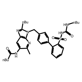 CCCCNC(=O)NS(=O)(=O)c1ccccc1-c1ccc(Cn2c(CCCC)nc3cc(NC(=O)CCCC)c(C)nc32)cc1